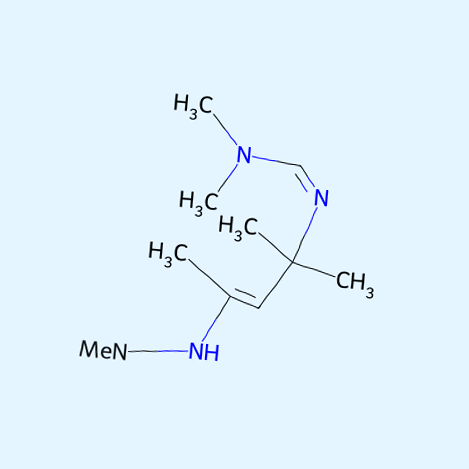 CNN/C(C)=C/C(C)(C)/N=C\N(C)C